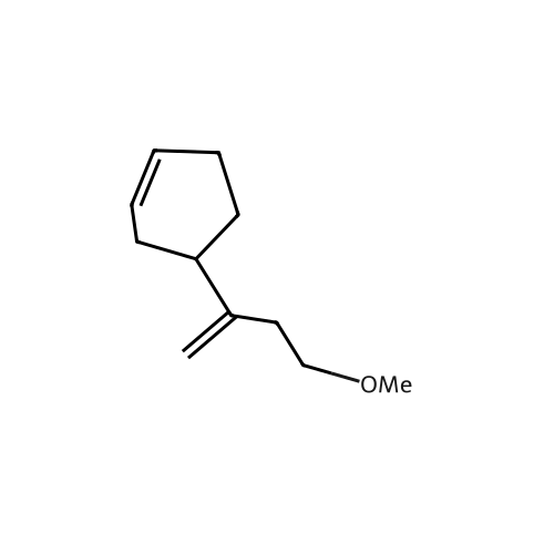 C=C(CCOC)C1CC=CCC1